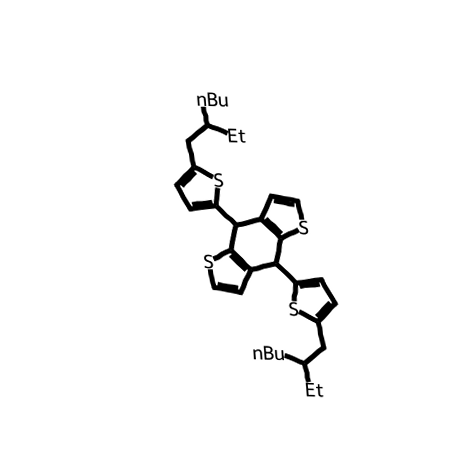 CCCCC(CC)Cc1ccc(C2c3ccsc3C(c3ccc(CC(CC)CCCC)s3)c3ccsc32)s1